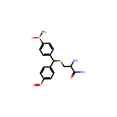 B[S+]([O-])c1ccc(C(SCC(N)C(N)=O)c2ccc([S+]=O)cc2)cc1